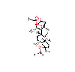 CCC(=O)OC[C@@]12C(=CC(=O)C[C@@H]1C)CC[C@@H]1[C@@H]2CC[C@@]2(C)[C@H]1CC[C@]2(C)OC(=O)CC